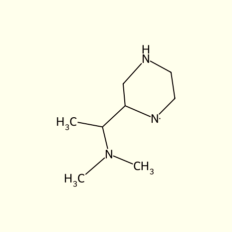 CC(C1CNCC[N]1)N(C)C